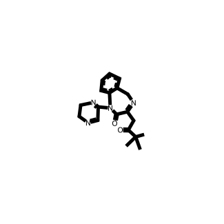 CC(C)(C)C(=O)CC1=NCc2ccccc2N(C2=NCCN=C2)C1=O